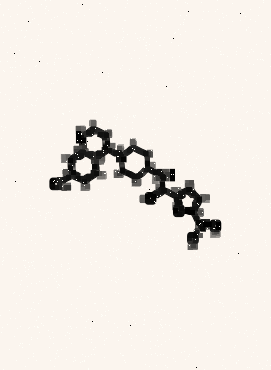 O=C(NC1CCN(c2ccnc3cc(Cl)ccc23)CC1)c1ccc([N+](=O)[O-])o1